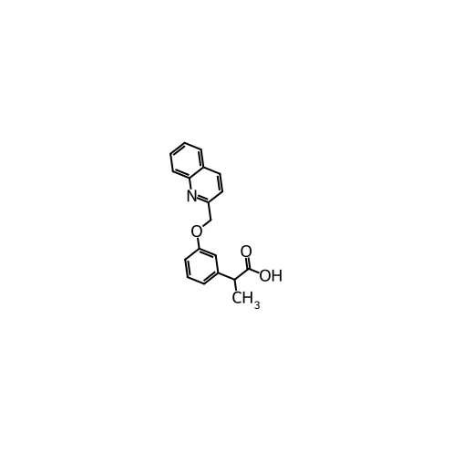 CC(C(=O)O)c1cccc(OCc2ccc3ccccc3n2)c1